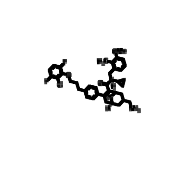 COc1cccc(CN(C(=O)C2=C(c3ccc(CCCOc4c(F)ccc(F)c4Cl)cc3)C[C@@H]3CC(CN)C[C@H]2N3)C2CC2)c1C